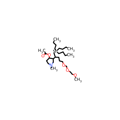 CCC[CH2][Sn]([CH2]CCC)([CH2]CCC)[CH2]C(CCCOCOCCOC)C1CN(C)CCC1OC(C)=O